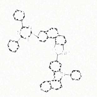 c1ccc(-c2nc(-c3ccccc3)nc(-c3ccc4c(ccc5ccc6c(c54)OC(c4ccc5c7c8ccccc8ccc7n(-c7ccccc7)c5c4)N6)c3)n2)cc1